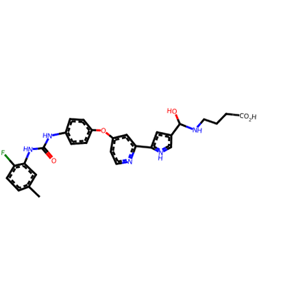 Cc1ccc(F)c(NC(=O)Nc2ccc(Oc3ccnc(-c4cc(C(O)NCCCC(=O)O)c[nH]4)c3)cc2)c1